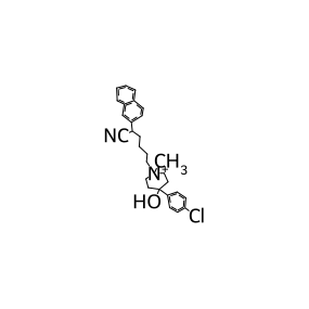 C[N+]1(CCCCC(C#N)c2ccc3ccccc3c2)CCC(O)(c2ccc(Cl)cc2)CC1